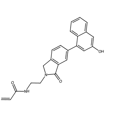 C=CC(=O)NCCN1Cc2ccc(-c3cc(O)cc4ccccc34)cc2C1=O